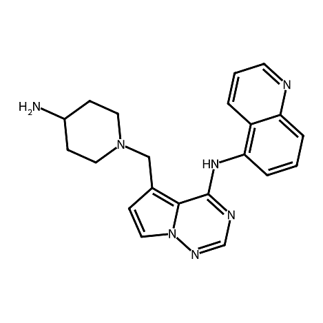 NC1CCN(Cc2ccn3ncnc(Nc4cccc5ncccc45)c23)CC1